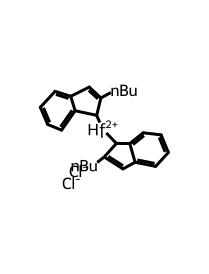 CCCCC1=Cc2ccccc2[CH]1[Hf+2][CH]1C(CCCC)=Cc2ccccc21.[Cl-].[Cl-]